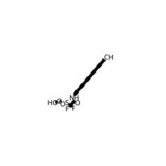 C#CC#CC#CC#CC#CC#CNC(=O)C(F)(F)SOOO